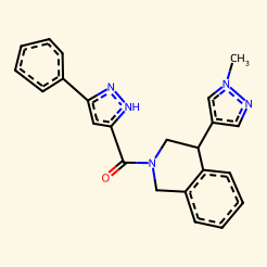 Cn1cc(C2CN(C(=O)c3cc(-c4ccccc4)n[nH]3)Cc3ccccc32)cn1